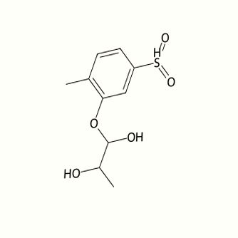 Cc1ccc([SH](=O)=O)cc1OC(O)C(C)O